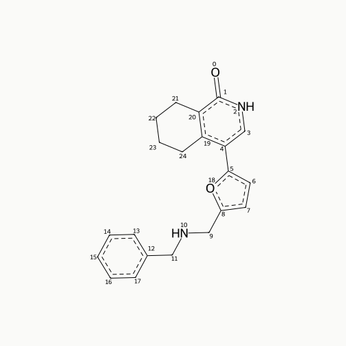 O=c1[nH]cc(-c2ccc(CNCc3ccccc3)o2)c2c1CCCC2